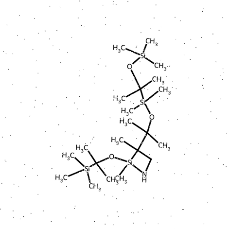 CC(C)(O[Si](C)(C)C(C)(C)O[Si](C)(C)C)C1(C)CN[Si]1(C)OC(C)(C)[Si](C)(C)C